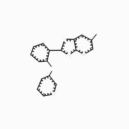 Brc1cnc2[nH]c(-c3ccccc3Oc3cccnc3)nc2c1